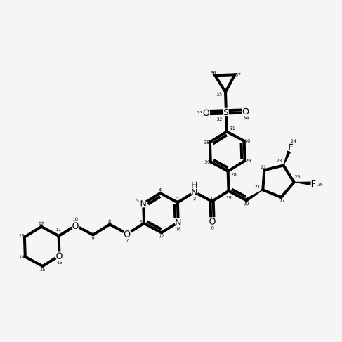 O=C(Nc1cnc(OCCOC2CCCCO2)cn1)/C(=C/[C@H]1C[C@@H](F)[C@@H](F)C1)c1ccc(S(=O)(=O)C2CC2)cc1